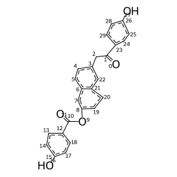 O=C(Cc1ccc2cc(OC(=O)c3ccc(O)cc3)ccc2c1)c1ccc(O)cc1